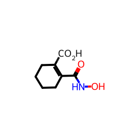 O=C(O)C1=C(C(=O)NO)CCCC1